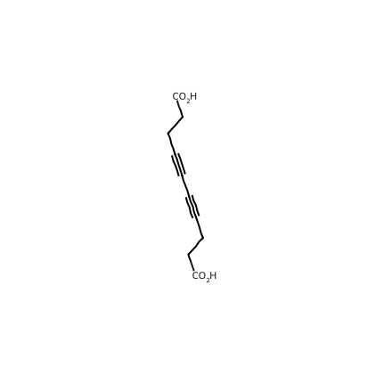 O=C(O)CCC#CC#CCCC(=O)O